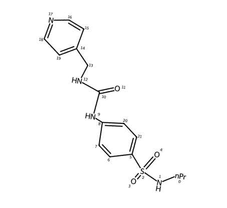 CCCNS(=O)(=O)c1ccc(NC(=O)NCc2ccncc2)cc1